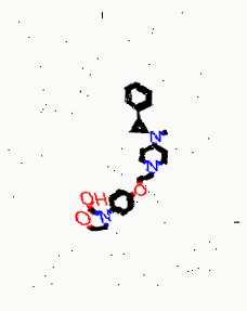 CN(C1CCN(CCOc2ccc(N3CCOC3O)cc2)CC1)[C@@H]1C[C@H]1c1ccccc1